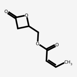 C/C=C\C(=O)OCC1CC(=O)O1